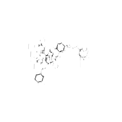 CC(=O)N[C@@H](CC(=O)O)C(=O)N[C@@H](CCc1ccccc1)C(=O)NCc1cc(OCCC2CNCCO2)ccc1C